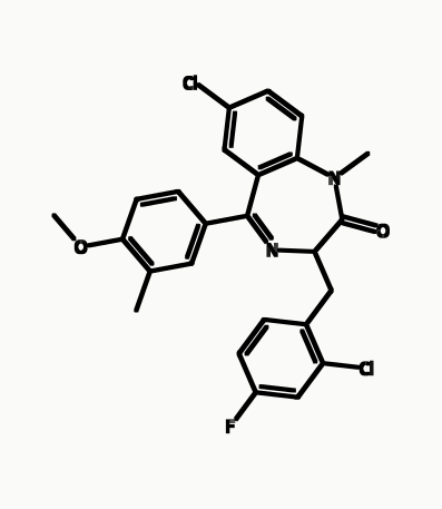 COc1ccc(C2=NC(Cc3ccc(F)cc3Cl)C(=O)N(C)c3ccc(Cl)cc32)cc1C